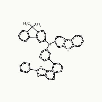 CC1(C)c2ccccc2-c2cc(N(c3cccc(-c4cccc5ccc6nc(-c7ccccc7)oc6c45)c3)c3ccc4c(c3)oc3ccccc34)ccc21